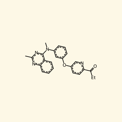 CCC(=O)c1ccc(Oc2cccc(N(C)c3nc(C)nc4ccccc34)c2)cn1